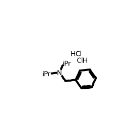 CC(C)N(Cc1ccccc1)C(C)C.Cl.Cl